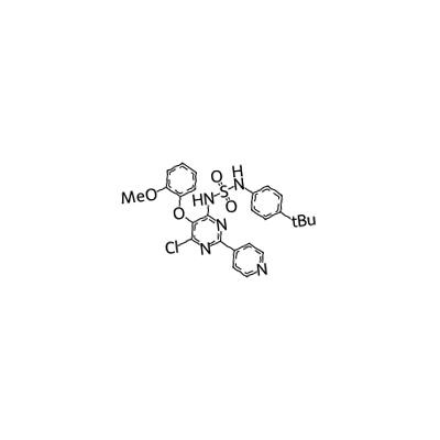 COc1ccccc1Oc1c(Cl)nc(-c2ccncc2)nc1NS(=O)(=O)Nc1ccc(C(C)(C)C)cc1